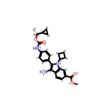 COC(=O)c1ccc2c(N)c(-c3ccc(NC(=O)O[C@H](C)C4CC4)cc3)n(C3CCC3)c2c1